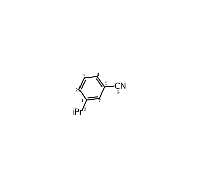 [CH2]C(C)c1cccc(C#N)c1